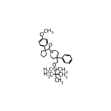 COc1ccc(C2(C(=O)N3CCC(CO[Si](C)(C)C(C)(C)C)(c4ccccc4)CC3)CCCC2)cc1